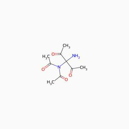 CC(=O)N(C(C)=O)C(N)(C(C)=O)C(C)=O